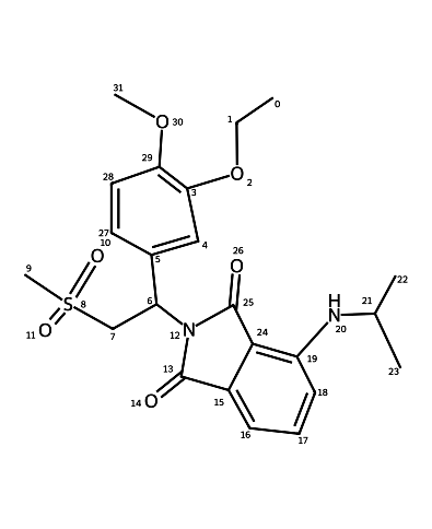 CCOc1cc(C(CS(C)(=O)=O)N2C(=O)c3cccc(NC(C)C)c3C2=O)ccc1OC